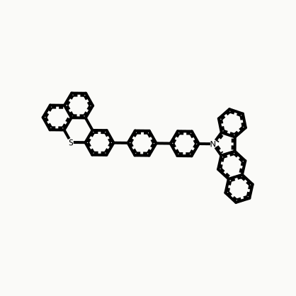 c1ccc2cc3c(cc2c1)c1ccccc1n3-c1ccc(-c2ccc(-c3ccc4c(c3)-c3cccc5cccc(c35)S4)cc2)cc1